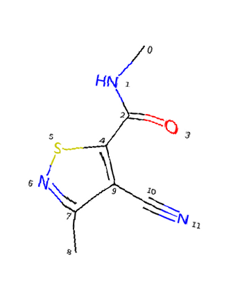 CNC(=O)c1snc(C)c1C#N